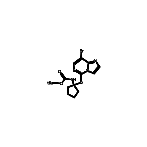 CC(C)(C)OC(=O)NC1(Oc2ncc(Br)c3nccn23)CCCC1